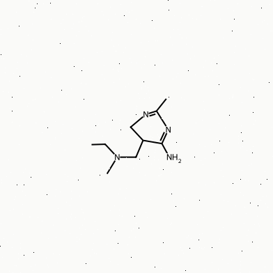 CCN(C)CC1CN=C(C)N=C1N